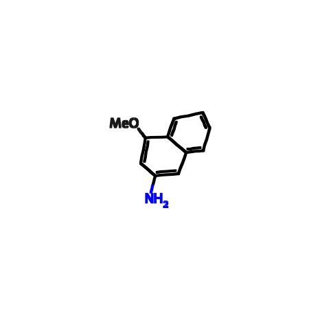 COc1cc(N)cc2ccccc12